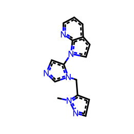 Cn1nccc1Cn1cncc1-n1ccc2cccnc21